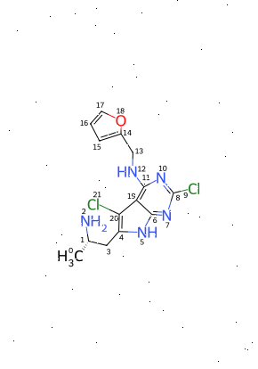 C[C@H](N)Cc1[nH]c2nc(Cl)nc(NCc3ccco3)c2c1Cl